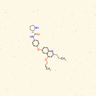 C=CCOc1cc(CCC)nc2ccc(Oc3ccc(NC(=O)[C@@H]4CCCN4)cc3)cc12